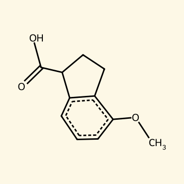 COc1cccc2c1CCC2C(=O)O